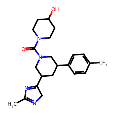 CC1=NCC(C2CC(c3ccc(C(F)(F)F)cc3)CN(C(=O)N3CCC(O)CC3)C2)=N1